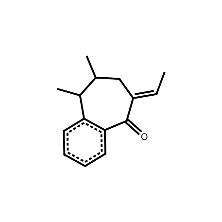 C/C=C1\CC(C)C(C)c2ccccc2C1=O